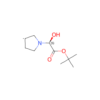 CC(C)(C)OC(=O)[C@H](O)N1C[CH]CC1